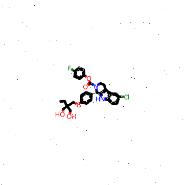 CCC(CO)(CO)COc1ccc([C@H]2c3[nH]c4ccc(Cl)cc4c3CCN2C(=O)Oc2ccc(F)cc2)cc1